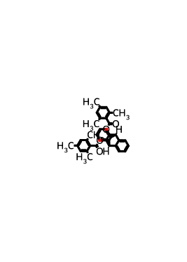 Cc1cc(C)c(C(=O)OC2C(OC(=O)c3c(C)cc(C)cc3C)[C@H]3c4ccccc4[C@H]2c2ccccc23)c(C)c1